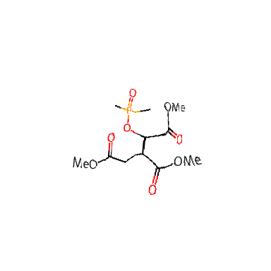 COC(=O)CC(C(=O)OC)C(OP(C)(C)=O)C(=O)OC